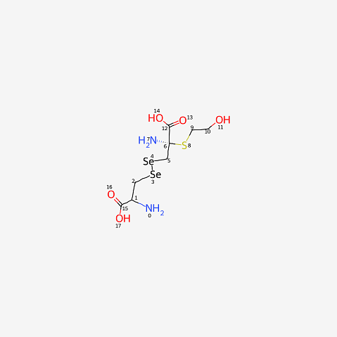 NC(C[Se][Se]C[C@](N)(SCCO)C(=O)O)C(=O)O